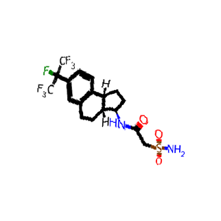 NS(=O)(=O)CC(=O)N[C@@H]1CC[C@H]2c3ccc(C(F)(C(F)(F)F)C(F)(F)F)cc3CC[C@@H]12